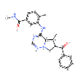 CCNC(=O)c1ccc(C)c(NC2=NC=NN3CC(C(=O)c4ccccc4)C(C)=C23)c1